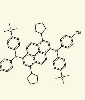 [C-]#[N+]c1ccc(N(c2ccc([Si](C)(C)C)cc2)c2cc(C3CCCC3)c3ccc4c(N(c5ccc(C#N)cc5)c5ccc([Si](C)(C)C)cc5)cc(C5CCCC5)c5ccc2c3c54)cc1